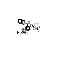 CC(Oc1ccc(S(C)(=O)=O)cc1C(=O)N1Cc2ccccc2C1)C(F)(F)F